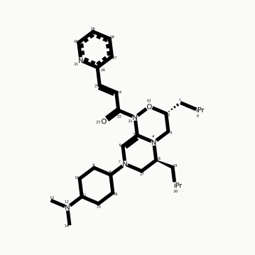 CC(C)C[C@@H]1CN2C(=CN(C3CCC(N(C)C)CC3)C[C@@H]2CC(C)C)N(C(=O)/C=C/c2ccccn2)O1